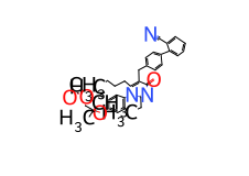 CCCCc1c(Cc2ccc(-c3ccccc3C#N)cc2)c(=O)nc(CC)n1-c1ccc(OC(C)(C)COC(C)=O)cc1